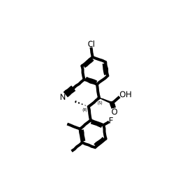 Cc1ccc(F)c([C@H](C)[C@H](C(=O)O)c2ccc(Cl)cc2C#N)c1C